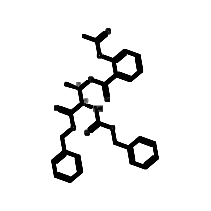 CC(=O)Oc1ccccc1C(=O)O[C@H](C)[C@H](NC(=O)OCc1ccccc1)C(=O)OCc1ccccc1